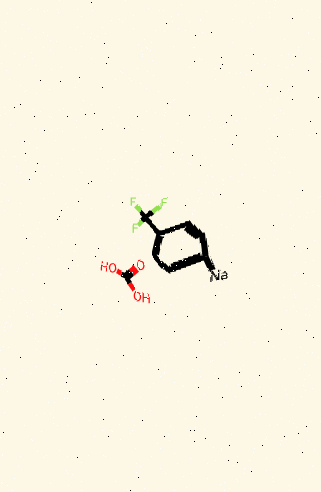 FC(F)(F)c1cc[c]([Na])cc1.O=C(O)O